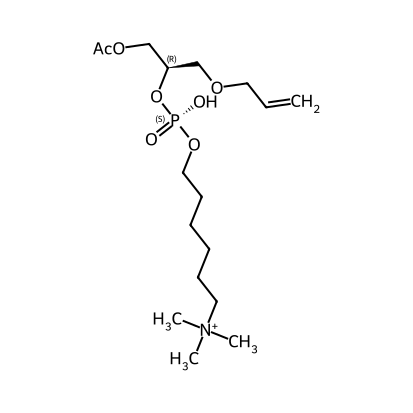 C=CCOC[C@H](COC(C)=O)O[P@@](=O)(O)OCCCCCC[N+](C)(C)C